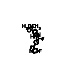 CN(C)C(=O)c1ccc2nc(C(C3CC3)N3CCC(c4ccnc5ccc(F)cc45)CC3)[nH]c2c1